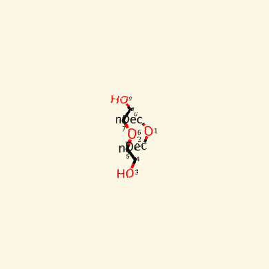 CCCCCCCCCCOCCCCCCCCCC.OCCOCCO